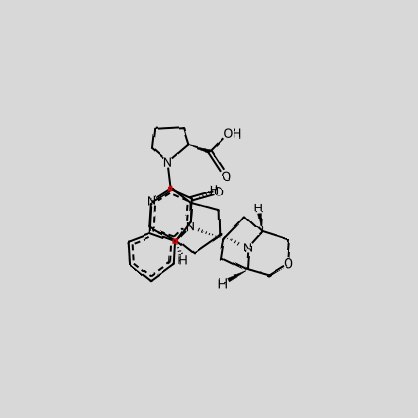 O=C(O)[C@@H]1CCCN1c1nc2ccccc2n([C@H]2C[C@H]3COC[C@@H](C2)N3[C@H]2C[C@@H]3CCC[C@@H](C3)C2)c1=O